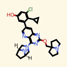 Oc1cc(Cl)c(C2CC2)c(-c2cnc3c(N4C[C@H]5CC[C@@H](C4)N5)nc(OCC45CCCN4CCC5)nc3c2)c1